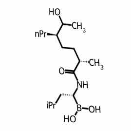 CCC[C@H](CC[C@H](C)C(=O)N[C@@H](CC(C)C)B(O)O)C(C)O